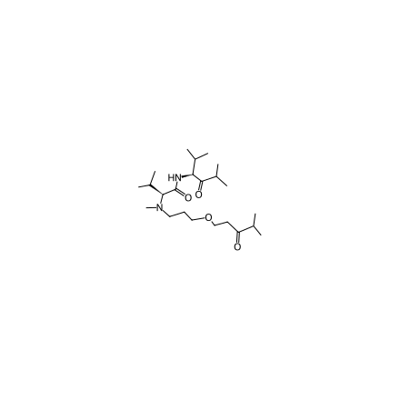 CC(C)C(=O)CCOCCCN(C)[C@H](C(=O)N[C@H](C(=O)C(C)C)C(C)C)C(C)C